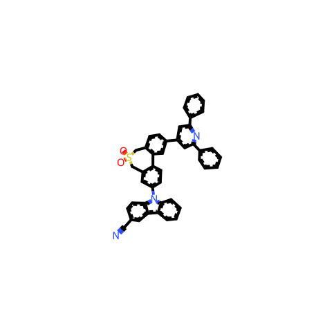 N#Cc1ccc2c(c1)c1ccccc1n2-c1ccc2c(c1)CS(=O)(=O)Cc1ccc(-c3cc(-c4ccccc4)nc(-c4ccccc4)c3)cc1-2